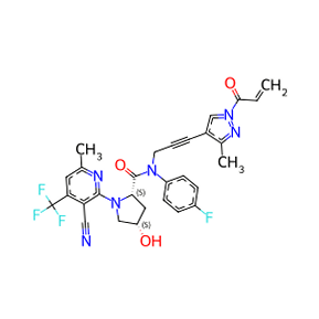 C=CC(=O)n1cc(C#CCN(C(=O)[C@@H]2C[C@H](O)CN2c2nc(C)cc(C(F)(F)F)c2C#N)c2ccc(F)cc2)c(C)n1